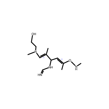 CNO/C(C)=C/C(NC=N)/C(C)=C/N(C)CCO